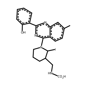 Cc1ccc2c(N3CCCC(CNC(=O)O)C3I)nc(-c3ccccc3O)nc2c1